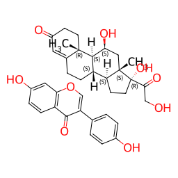 C[C@]12CCC(=O)C=C1CC[C@@H]1[C@@H]2[C@@H](O)C[C@@]2(C)[C@H]1CC[C@]2(O)C(=O)CO.O=c1c(-c2ccc(O)cc2)coc2cc(O)ccc12